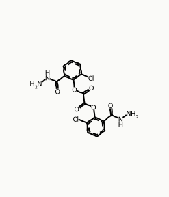 NNC(=O)c1cccc(Cl)c1OC(=O)C(=O)Oc1c(Cl)cccc1C(=O)NN